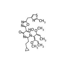 C=C/C(OC)=C(\C(=C/C)OC)n1c(CCC2CC2)nc(=O)c(-c2nnc(Cc3csc(C)n3)o2)c1O